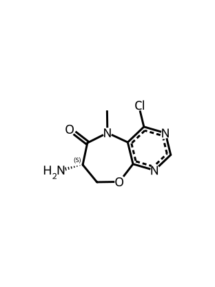 CN1C(=O)[C@@H](N)COc2ncnc(Cl)c21